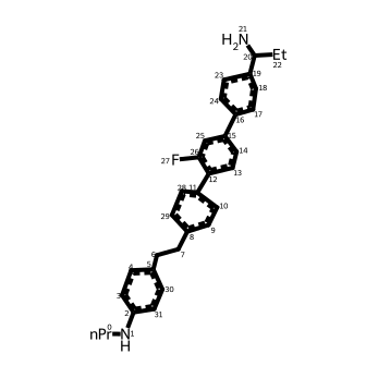 CCCNc1ccc(CCc2ccc(-c3ccc(-c4ccc(C(N)CC)cc4)cc3F)cc2)cc1